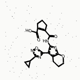 O=C(O)C1=C(C(=O)Nc2sc3c(c2-c2nc(C4CC4)no2)CCCO3)CCC1